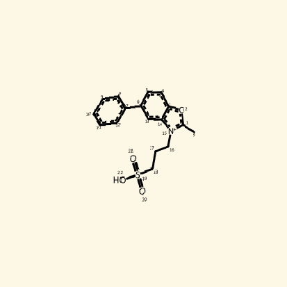 Cc1oc2ccc(-c3ccccc3)cc2[n+]1CCCS(=O)(=O)O